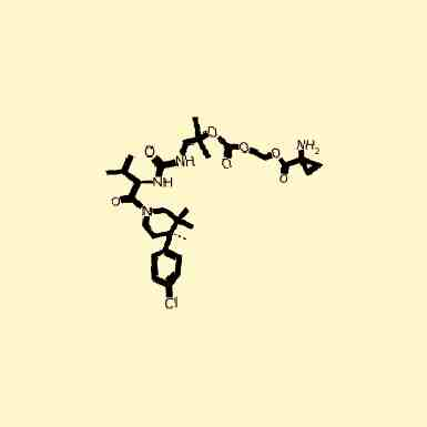 CC(C)[C@@H](NC(=O)NCC(C)(C)OC(=O)OCOC(=O)C1(N)CC1)C(=O)N1CC[C@](C)(c2ccc(Cl)cc2)C(C)(C)C1